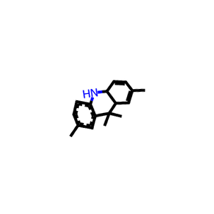 CC1=CC2C(C=C1)Nc1ccc(C)cc1C2(C)C